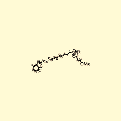 CCO[SiH](CCCSSSSSSSSc1nc2ccccc2s1)OCCCOC